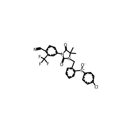 CC1(C)C(=O)N(c2ccc(C#N)c(C(F)(F)F)c2)C(=O)N1Cc1ccccc1[S+]([O-])c1ccc(Cl)cc1